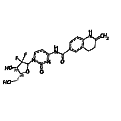 C=C1CCc2cc(C(=O)Nc3ccn(C4O[C@H](CO)[C@@H](O)C4(F)F)c(=O)n3)ccc2N1